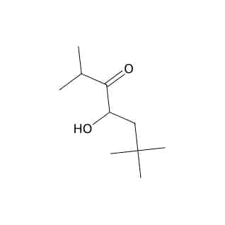 CC(C)C(=O)C(O)CC(C)(C)C